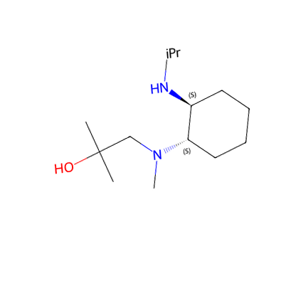 CC(C)N[C@H]1CCCC[C@@H]1N(C)CC(C)(C)O